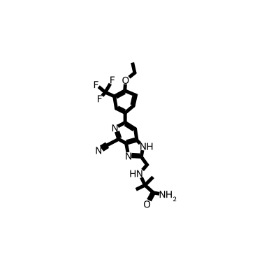 CCOc1ccc(-c2cc3[nH]c(CNC(C)(C)C(N)=O)nc3c(C#N)n2)cc1C(F)(F)F